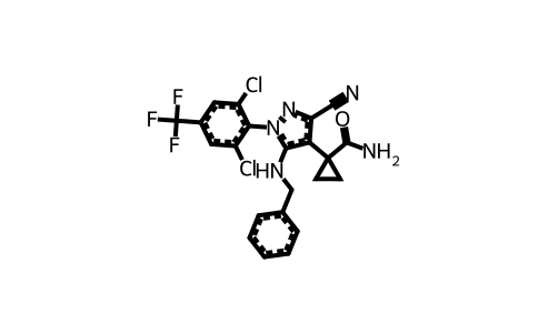 N#Cc1nn(-c2c(Cl)cc(C(F)(F)F)cc2Cl)c(NCc2ccccc2)c1C1(C(N)=O)CC1